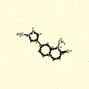 Cn1cc(-c2ccc3ccc(=O)n(C)c3c2)cn1